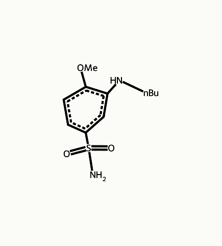 CCCCNc1cc(S(N)(=O)=O)ccc1OC